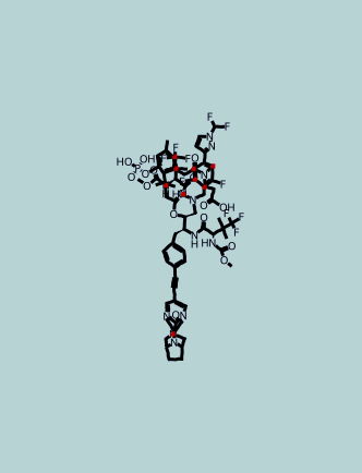 COC(=O)N[C@H](C(=O)N[C@@H](Cc1ccc(C#Cc2cnc(N3CC4CCC(C3)N4C3COC3)nc2)cc1)[C@H](CN(Cc1c(F)cc(-c2ccn(C(F)F)n2)cc1F)NC(=O)[C@@H](NC(=O)OC)C(C)(C)C(F)(F)F)OC(=O)CC(C)(C)c1c(CC(=O)N(C)CCC(=O)O)cc(C)cc1OP(=O)(O)O)C(C)(C)C(F)(F)F